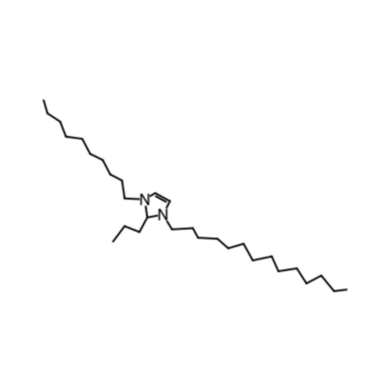 CCCCCCCCCCCCCCN1C=CN(CCCCCCCCCC)C1CCC